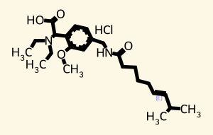 CCN(CC)C(C(=O)O)c1ccc(CNC(=O)CCCC/C=C/C(C)C)cc1OC.Cl